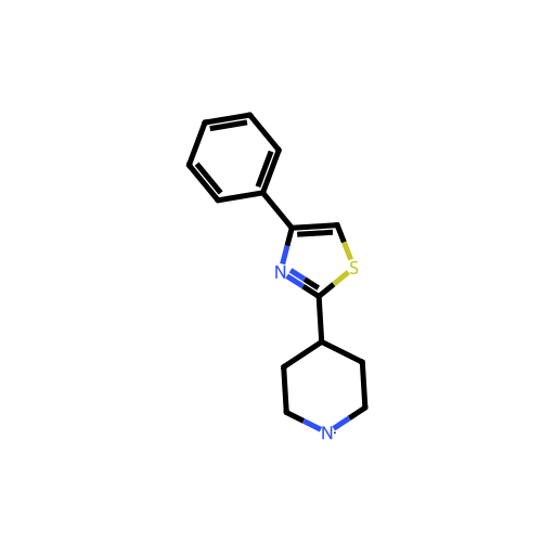 c1ccc(-c2csc(C3CC[N]CC3)n2)cc1